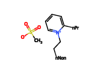 CCCCCCCCCCC[n+]1ccccc1CCC.CS(=O)(=O)[O-]